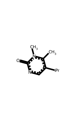 Cc1c(C(C)C)cnc(=O)n1C